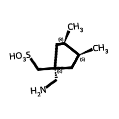 C[C@@H]1C[C@](CN)(CS(=O)(=O)O)C[C@@H]1C